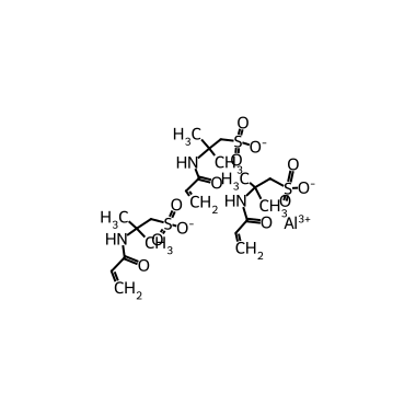 C=CC(=O)NC(C)(C)CS(=O)(=O)[O-].C=CC(=O)NC(C)(C)CS(=O)(=O)[O-].C=CC(=O)NC(C)(C)CS(=O)(=O)[O-].[Al+3]